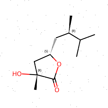 CC(C)[C@H](C)C[C@H]1C[C@@](C)(O)C(=O)O1